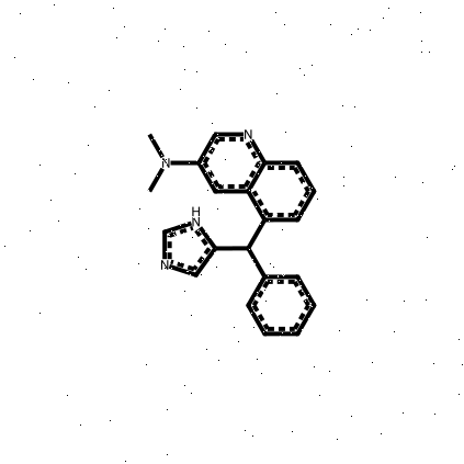 CN(C)c1cnc2cccc(C(c3ccccc3)c3cnc[nH]3)c2c1